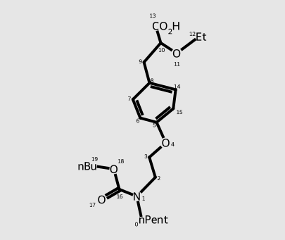 CCCCCN(CCOc1ccc(CC(OCC)C(=O)O)cc1)C(=O)OCCCC